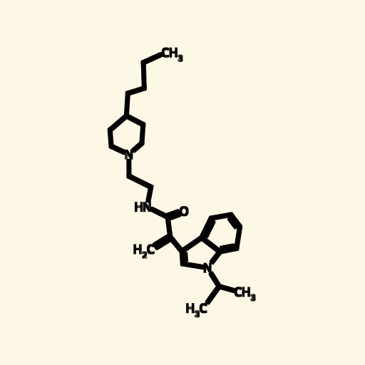 C=C(C(=O)NCCN1CCC(CCCC)CC1)c1cn(C(C)C)c2ccccc12